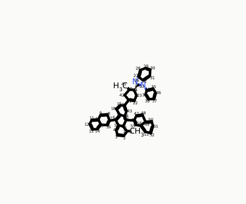 CC1C=CC=C2C(c3ccc4ccccc4c3)=c3ccc(C4=CC[C@H](c5nc6ccccc6n5-c5ccccc5)C(C)C4)cc3=C(c3ccc4ccccc4c3)C21